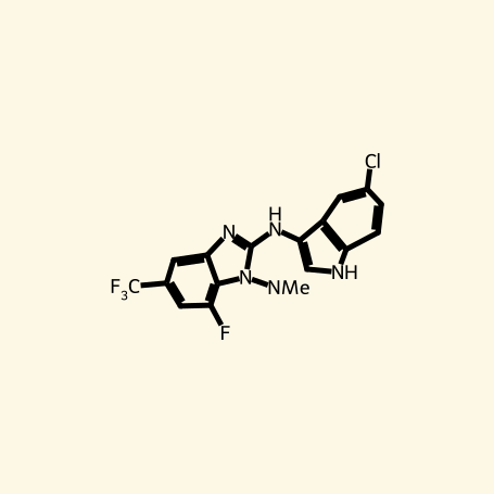 CNn1c(Nc2c[nH]c3ccc(Cl)cc23)nc2cc(C(F)(F)F)cc(F)c21